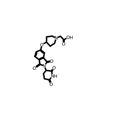 O=C(O)CN1CCC(Oc2ccc3c(c2)C(=O)N(C2CCC(=O)NC2=O)C3=O)CC1